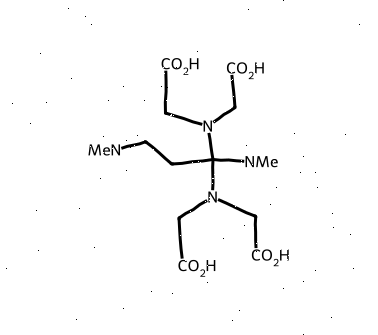 CNCCC(NC)(N(CC(=O)O)CC(=O)O)N(CC(=O)O)CC(=O)O